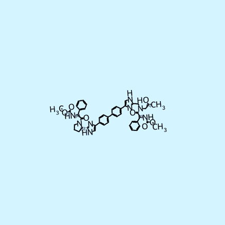 COC(=O)N[C@@H](C(=O)N(Cc1nc(-c2ccc(-c3ccc(-c4c[nH]c([C@@H]5CCCN5C(=O)[C@H](NC(=O)OC)c5ccccc5)n4)cc3)cc2)c[nH]1)C[C@@H](C)O)c1ccccc1